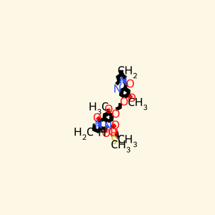 C=C1CC2C=Nc3cc(OCCCOc4cc5c(cc4OC)C(=O)N4CC(=C)C[C@H]4C(O)N5C(=O)OCC(C)SC)c(OC)cc3C(=O)N2C1